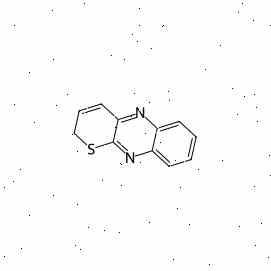 C1=Cc2nc3ccccc3nc2SC1